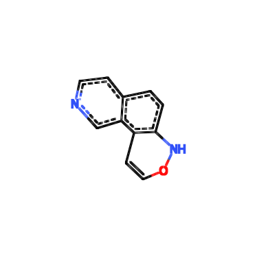 C1=Cc2c(ccc3ccncc23)NO1